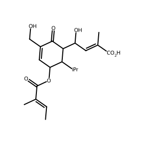 CC=C(C)C(=O)OC1C=C(CO)C(=O)C(C(O)C=C(C)C(=O)O)C1C(C)C